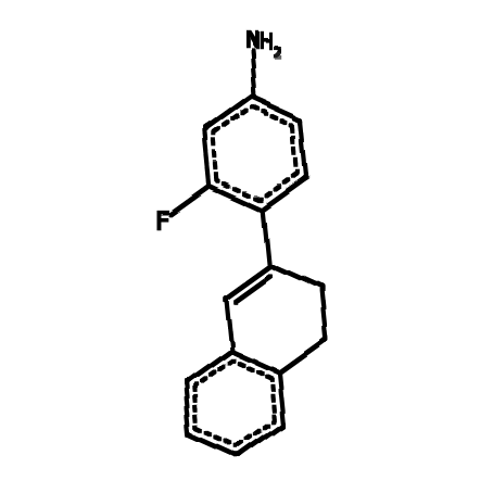 Nc1ccc(C2=Cc3ccccc3CC2)c(F)c1